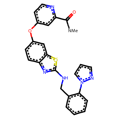 CNC(=O)c1cc(Oc2ccc3nc(NCc4ccccc4-n4cccn4)sc3c2)ccn1